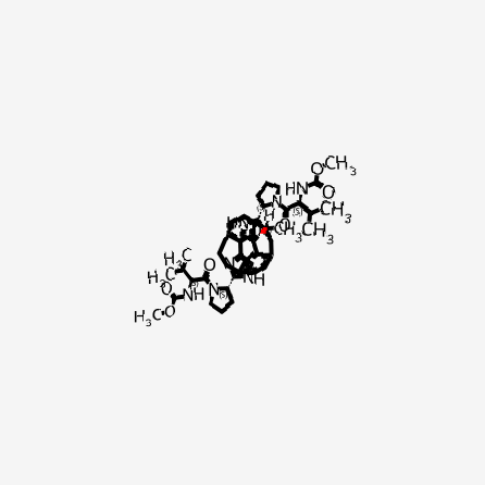 COC(=O)N[C@H](C(=O)N1CCC[C@H]1c1nc(-c2cc3ccc2CCc2ccc(c(-c4c[nH]c([C@@H]5CCCN5C(=O)[C@@H](NC(=O)OC)C(C)C)n4)c2)C[C@H]3C)c[nH]1)C(C)C